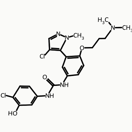 CN(C)CCCOc1ccc(NC(=O)Nc2ccc(Cl)c(O)c2)cc1-c1c(Cl)cnn1C